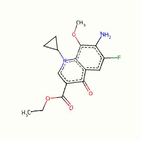 CCOC(=O)c1cn(C2CC2)c2c(OC)c(N)c(F)cc2c1=O